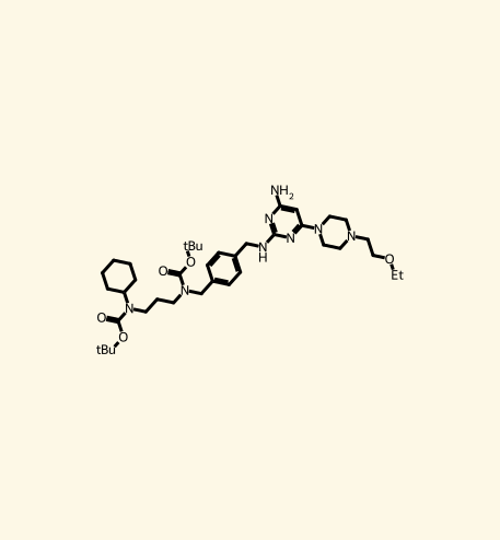 CCOCCN1CCN(c2cc(N)nc(NCc3ccc(CN(CCCN(C(=O)OC(C)(C)C)C4CCCCC4)C(=O)OC(C)(C)C)cc3)n2)CC1